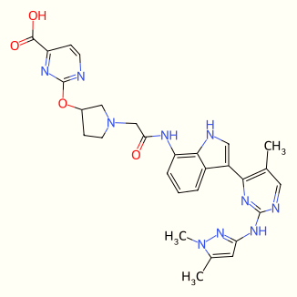 Cc1cnc(Nc2cc(C)n(C)n2)nc1-c1c[nH]c2c(NC(=O)CN3CCC(Oc4nccc(C(=O)O)n4)C3)cccc12